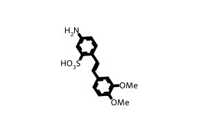 COc1ccc(C=Cc2ccc(N)cc2S(=O)(=O)O)cc1OC